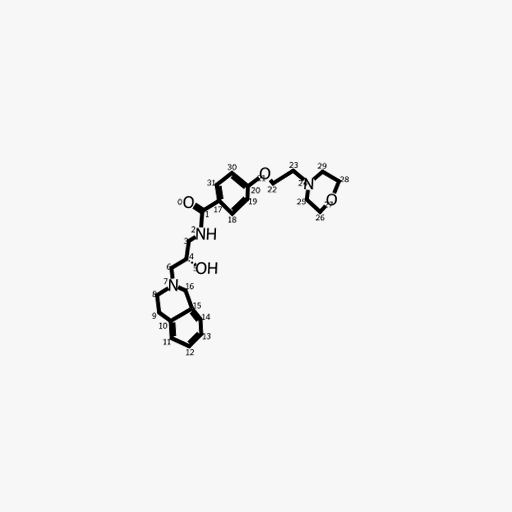 O=C(NC[C@H](O)CN1CCc2ccccc2C1)c1ccc(OCCN2CCOCC2)cc1